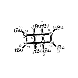 CC(C)(C)[Si]12[Si]3(C(C)(C)C)[Si]4(C(C)(C)C)[Si]1(C(C)(C)C)[Si]1(C(C)(C)C)[Si]2(C(C)(C)C)[Si]3(C(C)(C)C)[Si]41C(C)(C)C